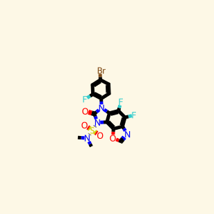 CN(C)S(=O)(=O)n1c(=O)n(-c2ccc(Br)cc2F)c2c(F)c(F)c3ncoc3c21